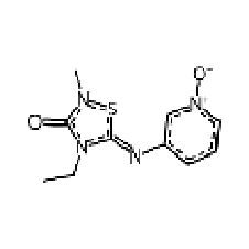 CCn1c(=Nc2ccc[n+]([O-])c2)sn(C)c1=O